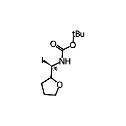 CC(C)(C)OC(=O)N[C@H](I)C1CCCO1